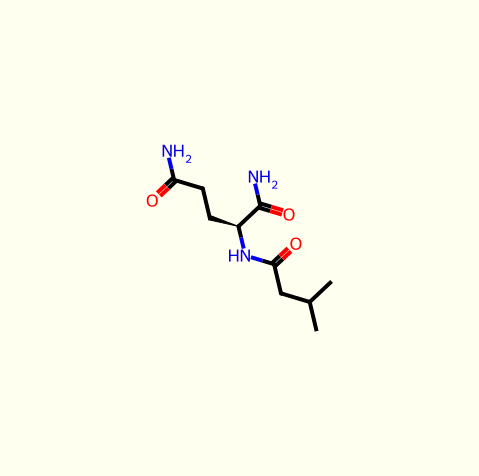 CC(C)CC(=O)N[C@@H](CCC(N)=O)C(N)=O